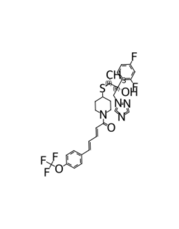 C[C@@H](SC1CCN(C(=O)C=CC=Cc2ccc(OC(F)(F)F)cc2)CC1)[C@](O)(Cn1cncn1)c1ccc(F)cc1F